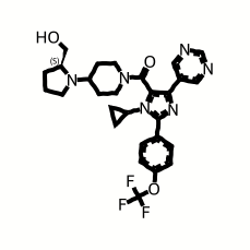 O=C(c1c(-c2cncnc2)nc(-c2ccc(OC(F)(F)F)cc2)n1C1CC1)N1CCC(N2CCC[C@H]2CO)CC1